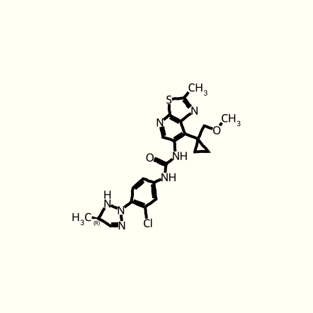 COCC1(c2c(NC(=O)Nc3ccc(N4N=C[C@@H](C)N4)c(Cl)c3)cnc3sc(C)nc23)CC1